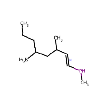 BC(CCC)CC(C)/C=C/PC